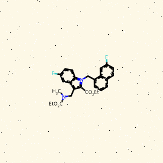 CCOC(=O)c1c(CN(C)C(=O)OCC)c2cc(F)ccc2n1Cc1cccc2ccc(F)cc12